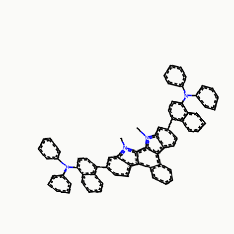 Cn1c2cc(-c3ccc(N(c4ccccc4)c4ccccc4)c4ccccc34)ccc2c2c3ccccc3c3c4ccc(-c5ccc(N(c6ccccc6)c6ccccc6)c6ccccc56)cc4n(C)c3c21